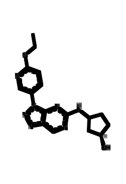 CCOc1ccc(-n2nnc3cnc(NC4CC[C@@H](O)C4)nc32)cn1